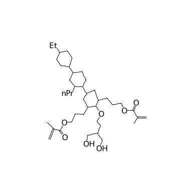 C=C(C)C(=O)OCCCC1CC(C2CCC(C3CCC(CC)CC3)CC2CCC)CC(CCCOC(=O)C(=C)C)C1OCCC(CO)CO